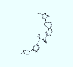 CN1CCC(n2cc(C(=O)Nc3ncc4ccc(-c5cn(C)nn5)cc4n3)cn2)CC1